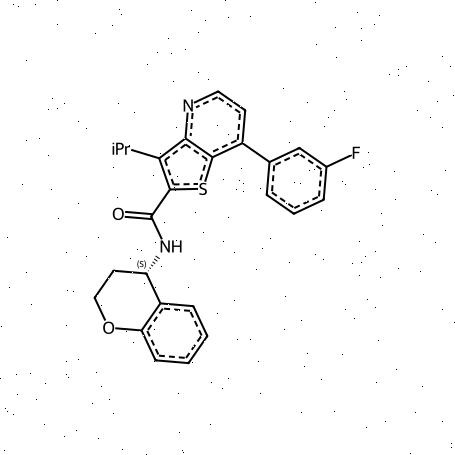 CC(C)c1c(C(=O)N[C@H]2CCOc3ccccc32)sc2c(-c3cccc(F)c3)ccnc12